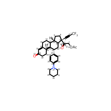 CC(=O)OCC(=O)[C@@]1(C#CC(F)(F)F)CC[C@H]2[C@@H]3CCC4=CC(=O)CCC4=C3[C@@H](c3ccc(N4CCCCC4)cc3)C[C@@]21C